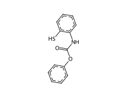 O=C(Nc1ccccc1S)Oc1ccccc1